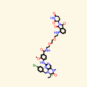 CC[C@@H]1C(=O)N(C)c2cnc(Nc3ccc(C(=O)NCCOCCOCCNc4cccc5c4C(=O)N(C4CCC(=O)NC4=O)C5=O)cc3OC)nc2N1Cc1ccc(Br)cc1